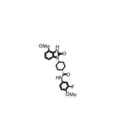 COc1ccc(NC(=O)[C@H]2CC[C@@H](n3c(=O)[nH]c4c(OC)cccc43)CC2)cc1F